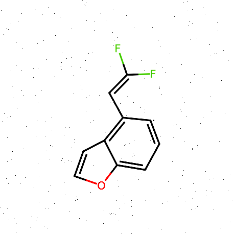 FC(F)=Cc1[c]ccc2occc12